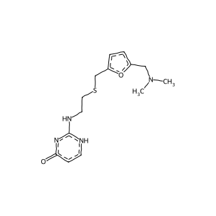 CN(C)Cc1ccc(CSCCNc2nc(=O)cc[nH]2)o1